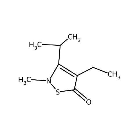 CCc1c(C(C)C)n(C)sc1=O